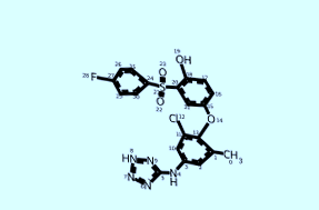 Cc1cc(Nc2nn[nH]n2)cc(Cl)c1Oc1ccc(O)c(S(=O)(=O)c2ccc(F)cc2)c1